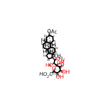 CC(=O)O[C@H]1CC[C@H]2[C@H](CC[C@@H]3[C@@H]2CC[C@]2(C)[C@@H](C(=O)C(O)C4(O)O[C@H](C(=O)O)[C@@H](O)[C@H](O)[C@H]4O)CC[C@@H]32)C1